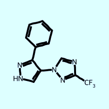 FC(F)(F)c1ncn(-c2c[nH]nc2-c2ccccc2)n1